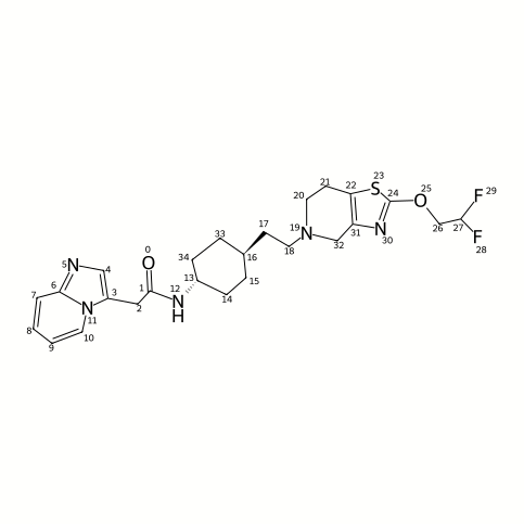 O=C(Cc1cnc2ccccn12)N[C@H]1CC[C@H](CCN2CCc3sc(OCC(F)F)nc3C2)CC1